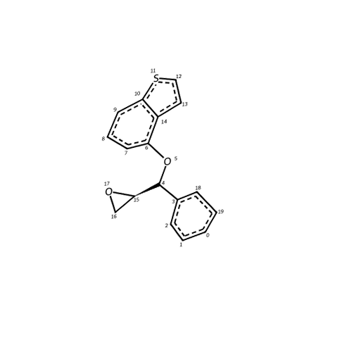 c1ccc(C(Oc2cccc3sccc23)[C@H]2CO2)cc1